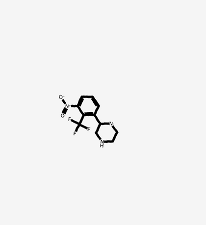 O=[N+]([O-])c1cccc(C2CNCC[N]2)c1C(F)(F)F